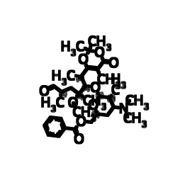 CO[C@](C)(C[C@@H](C)C=O)[C@H](O[C@@H]1O[C@H](COC(=O)c2ccccc2)CC(N(C)C)[C@H]1C)[C@@H](C)C1=C(C)C(=O)OC(C)(C)O1